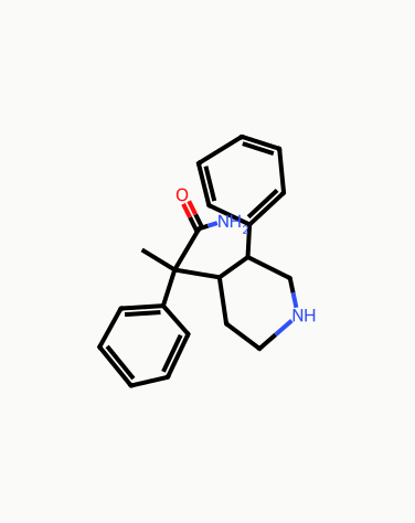 CC(C(N)=O)(c1ccccc1)C1CCNCC1c1ccccc1